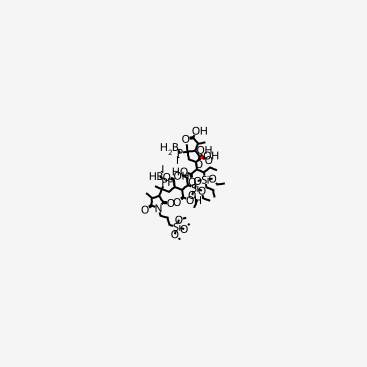 BP(I)C(C)(CC(C(=O)O)C(C(=O)O)C(CC)[Si](CCC)(OCC)O[Si](OCC)(OCC)C(CC)C(C(=O)O)C(CC(C)(PBI)C1C(=O)N(CCC[Si](OC)(OC)OC)C(=O)C1C)C(=O)O)C(C(=O)O)C(C)C(=O)O